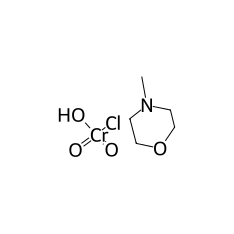 CN1CCOCC1.[O]=[Cr](=[O])([OH])[Cl]